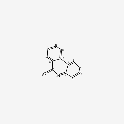 O=C1N=C2C=CCC=C2c2ccccc21